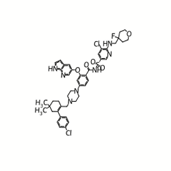 CC1(C)CCC(CN2CCN(c3ccc(C(=O)NS(=O)(=O)c4cnc(NCC5(F)CCOCC5)c(Cl)c4)c(Oc4cnc5[nH]ccc5c4)c3)CC2)=C(c2ccc(Cl)cc2)C1